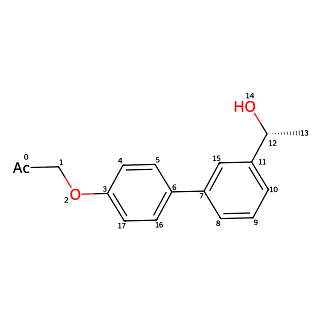 CC(=O)COc1ccc(-c2cccc([C@@H](C)O)c2)cc1